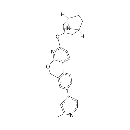 Cc1cc(-c2ccc3c(c2)COc2nc(OC4C[C@H]5CC[C@@H](C4)N5)ccc2-3)ccn1